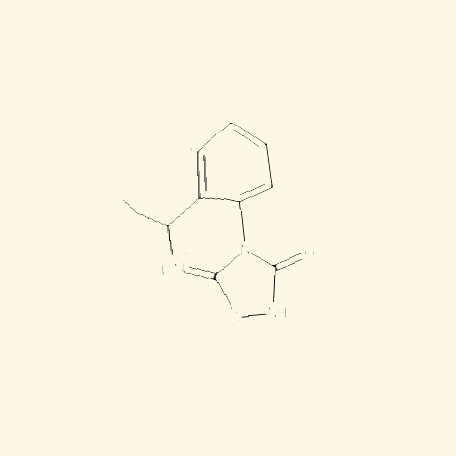 CC(C)c1ccccc1-n1c(=O)[nH]sc1=N